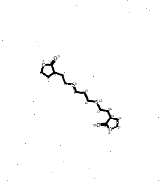 O=C1OCCC1CCSCCCSCCC1CCOC1=O